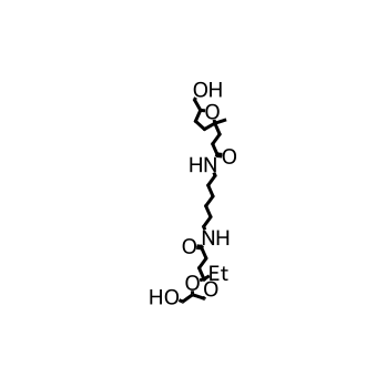 CCC1(CCC(=O)NCCCCCCNC(=O)CCC2(C)CCC(CO)O2)OCC(CO)O1